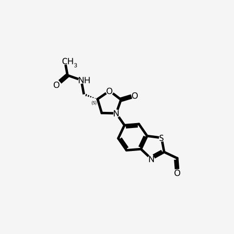 CC(=O)NC[C@H]1CN(c2ccc3nc(C=O)sc3c2)C(=O)O1